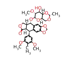 COc1cc([C@@H]2c3cc4c(cc3[C@@H](OC3O[C@@H]5CO[C@@H](C)O[C@H]5[C@H](O)[C@H]3OC)[C@H]3COC(=O)[C@H]23)OCO4)cc(OC)c1C